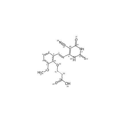 COc1cccc(C=Cc2[nH]c(=S)[nH]c(=O)c2C#N)c1OCCC(=O)O